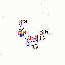 COc1ccc(S(=O)(=O)NCCC(=O)N[C@@H](Cc2ccccc2)[C@H](O)CNCc2cccc(OC)c2)cc1